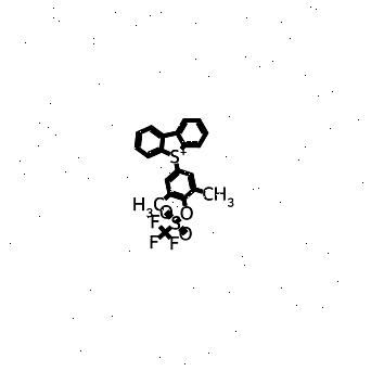 Cc1cc(-[s+]2c3ccccc3c3ccccc32)cc(C)c1OS(=O)(=O)C(F)(F)F